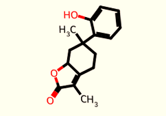 CC1=C2CCC(C)(c3ccccc3O)CC2OC1=O